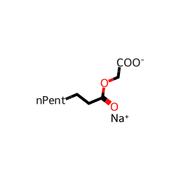 CCCCCCCC(=O)OCC(=O)[O-].[Na+]